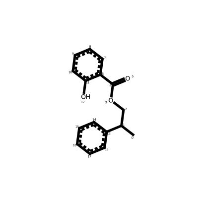 CC(COC(=O)c1ccccc1O)c1ccccc1